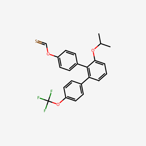 CC(C)Oc1cc[c]c(-c2ccc(OC(F)(F)F)cc2)c1-c1ccc(OC=S)cc1